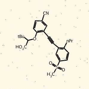 CCCc1ccc(S(C)(=O)=O)cc1C#Cc1cc(C#N)ccc1OC(C(=O)O)C(C)(C)C